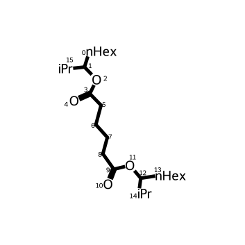 CCCCCCC(OC(=O)CCCCC(=O)OC(CCCCCC)C(C)C)C(C)C